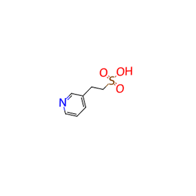 O=S(=O)(O)CCc1cccnc1